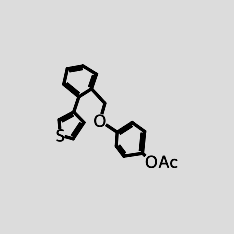 CC(=O)Oc1ccc(OCc2ccccc2-c2ccsc2)cc1